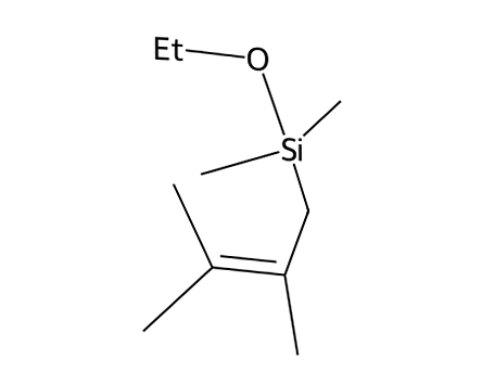 CCO[Si](C)(C)CC(C)=C(C)C